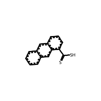 S=C(S)c1cccc2cc3ccccc3cc12